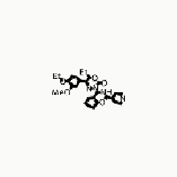 CCOc1ccc(C2=NN(C(NC(=O)c3ccncc3)c3ccccc3)C(=O)OC2CC)cc1OC